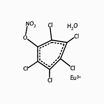 O.O=[N+]([O-])Oc1c(Cl)c(Cl)c(Cl)c(Cl)c1Cl.[Eu+3]